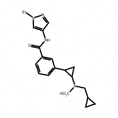 CCn1cc(NC(=O)c2cccc(C3CC3N(CC3CC3)C(=O)O)c2)cn1